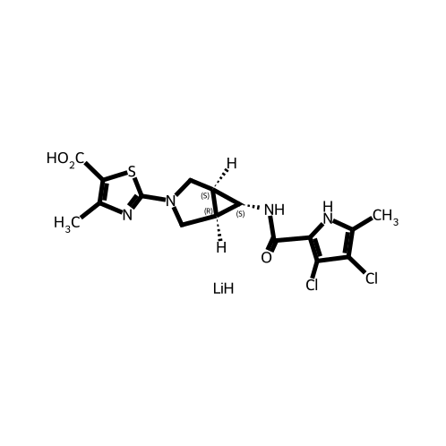 Cc1nc(N2C[C@@H]3[C@H](C2)[C@H]3NC(=O)c2[nH]c(C)c(Cl)c2Cl)sc1C(=O)O.[LiH]